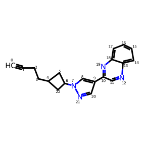 C#CCCC1CC(n2cc(-c3cnc4ccccc4n3)cn2)C1